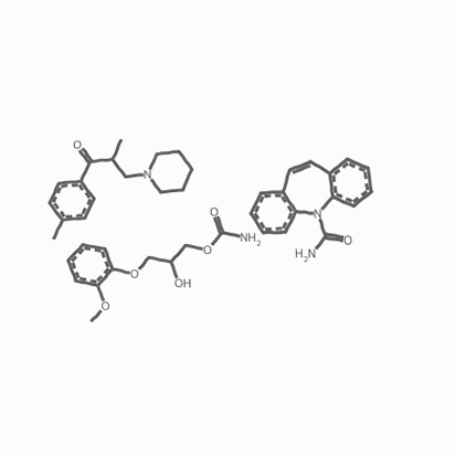 COc1ccccc1OCC(O)COC(N)=O.Cc1ccc(C(=O)C(C)CN2CCCCC2)cc1.NC(=O)N1c2ccccc2C=Cc2ccccc21